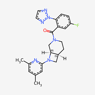 Cc1cc(C)nc(N2C[C@@H]3CCN(C(=O)c4cc(F)ccc4-n4nccn4)C[C@@H]32)c1